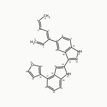 C=N/C(=C\N=C/C)c1ccc2[nH]nc(-c3cc4c(-c5ccoc5)cccc4[nH]3)c2c1